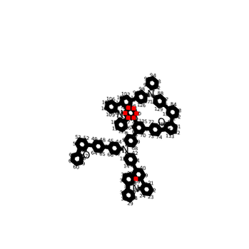 c1ccc(-c2cc(-c3ccc(N(c4ccc(-c5ccc(-c6ccccc6-n6c7ccccc7c7ccccc76)cc5)cc4)c4ccc(-c5ccc(-c6cccc7c6oc6ccccc67)cc5)cc4)cc3)cc(-c3ccc4c(c3)oc3c(-c5cccc(-c6ccc(N(c7ccccc7)c7ccc(-c8ccc(-c9ccccc9-n9c%10ccccc%10c%10ccccc%109)cc8)cc7)cc6)c5)cccc34)c2)cc1